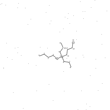 CCCCO[Si](CCC)(CCC)CCCCl